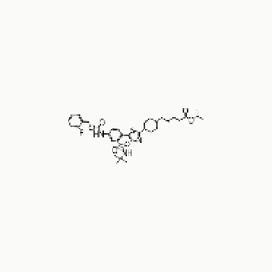 CC(C)OC(=O)CCCCC1CCC(c2ncc(-c3ccc(NC(=O)OCc4ccccc4F)cc3S(=O)(=O)NC(C)(C)C)s2)CC1